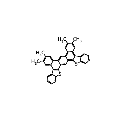 Cc1cc2c3cc4c5cc(C)c(C)cc5c5c6ccccc6sc5c4cc3c3sc4ccccc4c3c2cc1C